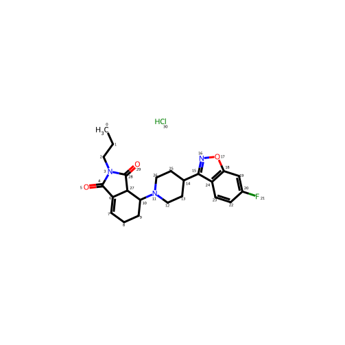 CCCN1C(=O)C2=CCCC(N3CCC(c4noc5cc(F)ccc45)CC3)C2C1=O.Cl